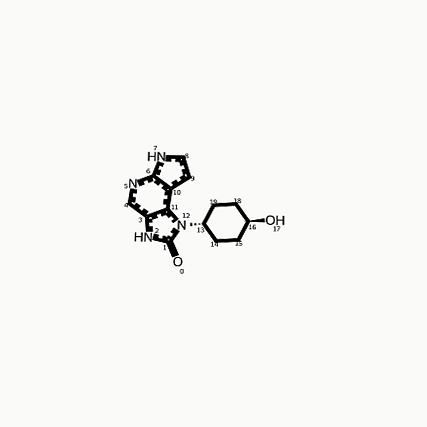 O=c1[nH]c2cnc3[nH]ccc3c2n1[C@H]1CC[C@H](O)CC1